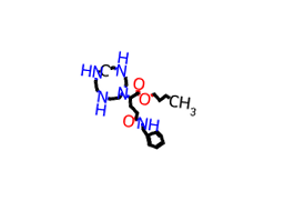 CCCCOC(=O)C(CCC(=O)NCc1ccccc1)N1CCNCCNCCNCC1